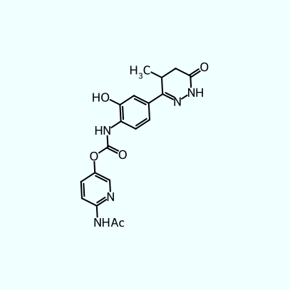 CC(=O)Nc1ccc(OC(=O)Nc2ccc(C3=NNC(=O)CC3C)cc2O)cn1